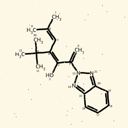 C=C(/C(O)=C(\C=C(C)C)C(C)(C)C)n1nc2ccccc2n1